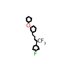 Fc1ccc(C(=CCCc2cccc(Oc3ccccc3)c2)C(F)(F)F)cc1